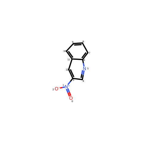 O=[N+]([O-])c1cnc2cc[c]cc2c1